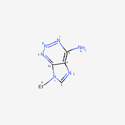 CCn1cnc2c(N)nnnc21